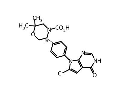 CC1(C)CN(C(=O)O)[C@H](c2ccc(-n3c(Cl)cc4c(=O)[nH]cnc43)cc2)CO1